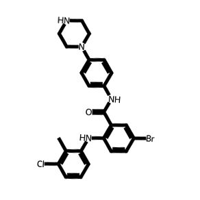 Cc1c(Cl)cccc1Nc1ccc(Br)cc1C(=O)Nc1ccc(N2CCNCC2)cc1